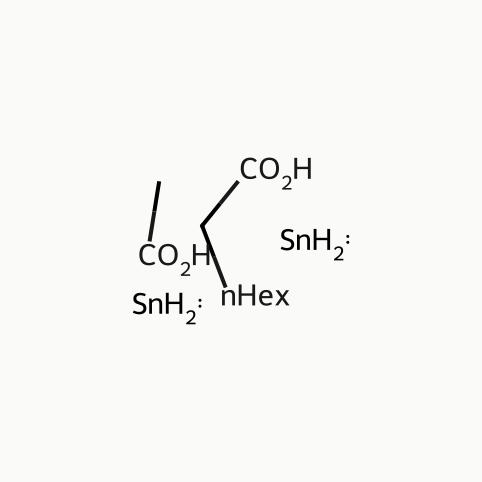 CC(=O)O.CCCCCCCC(=O)O.[SnH2].[SnH2]